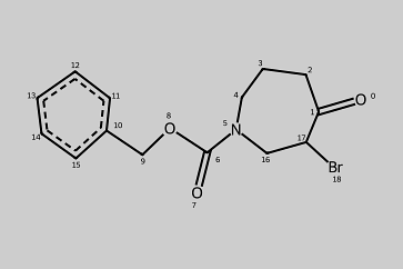 O=C1CCCN(C(=O)OCc2ccccc2)CC1Br